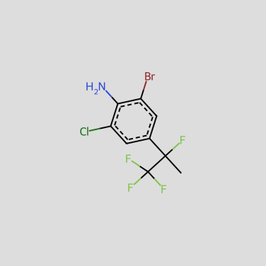 CC(F)(c1cc(Cl)c(N)c(Br)c1)C(F)(F)F